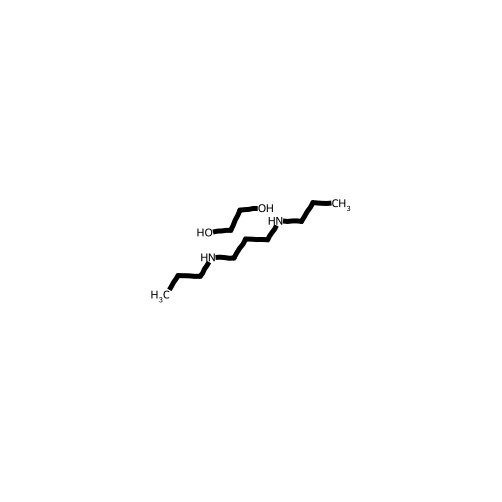 CCCNCCCNCCC.OCCO